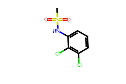 CS(=O)(=O)Nc1cccc(Cl)c1Cl